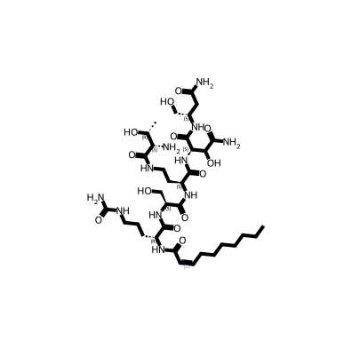 CCCCCCC/C=C\C(=O)N[C@H](CCCNC(N)=O)C(=O)N[C@@H](CO)C(=O)N[C@@H](CCNC(=O)[C@@H](N)[C@@H](C)O)C(=O)N[C@H](C(=O)N[C@H](CO)CC(N)=O)C(O)C(N)=O